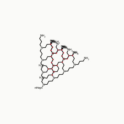 CCCCCCCN(CCCN(CCCN(CCCN(CCCN)CCCN)CCCN(CCCN)CCCN)CCCN(CCCN(CCCN)CCCN)CCCN(CCCN)CCCN)CCCN(CCCN(CCCN(CCCN)CCCN)CCCN(CCCN)CCCN)CCCN(CCCN(CCCN)CCCN)CCCN(CCCN)CCCN